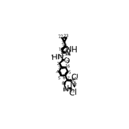 O=C(Cc1ccc(-c2cnc(Cl)nc2Cl)cc1)Nc1cc(C2CC2)[nH]n1